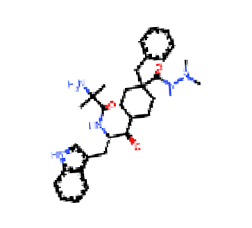 CN(C)NC(=O)C1(Cc2ccccc2)CCC(C(=O)[C@@H](Cc2c[nH]c3ccccc23)NC(=O)C(C)(C)N)CC1